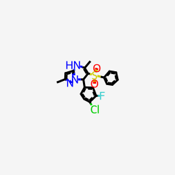 CC1=C(S(=O)(=O)c2ccccc2)C(c2ccc(Cl)c(F)c2)n2nc(C)cc2N1